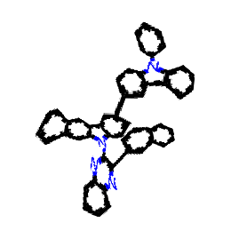 c1ccc(-n2c3ccccc3c3cc(-c4ccc5c(c4)c4cc6ccccc6cc4n5-c4nc5ccccc5nc4-c4ccc5ccccc5c4)ccc32)cc1